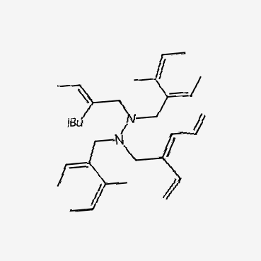 C=C/C=C(\C=C)CN(CC(=C/C)/C(C)=C\C)N(CC(=C/C)/C(C)=C\C)C/C(=C/C)C(C)CC